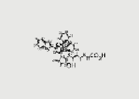 C=C1C[C@H](O)[C@H](CC=CCCCC(=O)O)[C@H]1C=CC(O[Si](c1ccccc1)(c1ccccc1)C(C)(C)C)c1cc2ccccc2s1